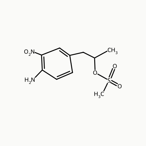 CC(Cc1ccc(N)c([N+](=O)[O-])c1)OS(C)(=O)=O